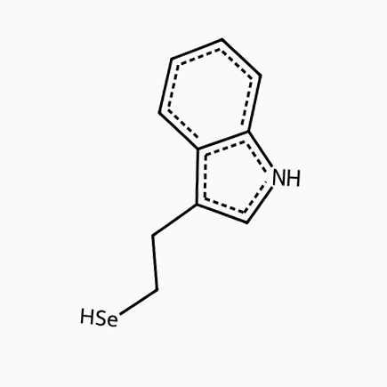 [SeH]CCc1c[nH]c2ccccc12